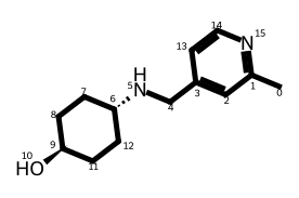 Cc1cc(CN[C@H]2CC[C@H](O)CC2)ccn1